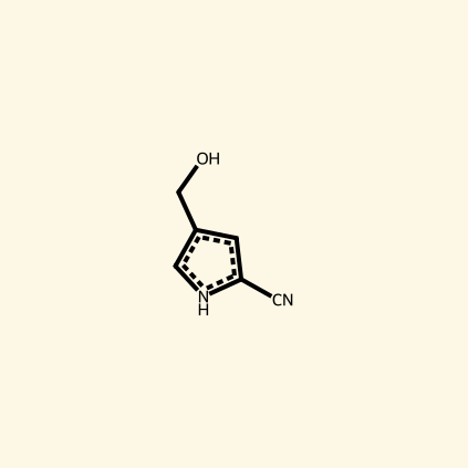 N#Cc1cc(CO)c[nH]1